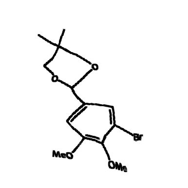 COc1cc(C2OCC(C)(C)CO2)cc(Br)c1OC